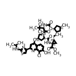 CC[C@@H]1C[C@]1(NC(=O)[C@@H]1C[C@@H](Oc2cc(-c3csc(NC(C)C)n3)nc3c(Cl)c(O)ccc23)CN1C(=O)[C@@H](NC(=O)O[C@H]1CC[C@@H](C)C1)C(C)(C)C)C(=O)OC